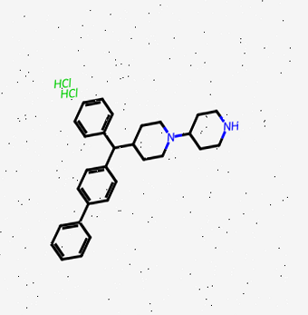 Cl.Cl.c1ccc(-c2ccc(C(c3ccccc3)C3CCN(C4CCNCC4)CC3)cc2)cc1